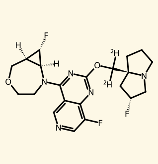 [2H]C([2H])(Oc1nc(N2CCOC[C@H]3[C@H](F)[C@H]32)c2cncc(F)c2n1)[C@@]12CCCN1C[C@H](F)C2